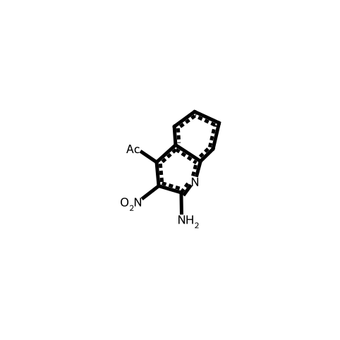 CC(=O)c1c([N+](=O)[O-])c(N)nc2ccccc12